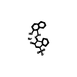 O=C1C=C(S(=O)(=O)[O-])c2ccccc2/C1=N\Nc1c(O)ccc2ccccc12.[Na+]